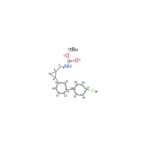 CC(C)(C)OC(=O)NCC1CC1c1cccc(-c2ccc(F)cc2)c1